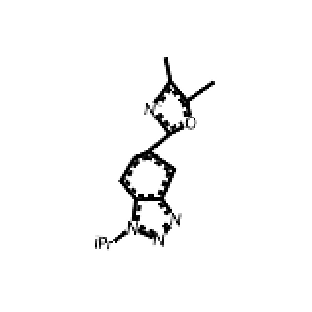 Cc1nc(-c2ccc3c(c2)nnn3C(C)C)oc1C